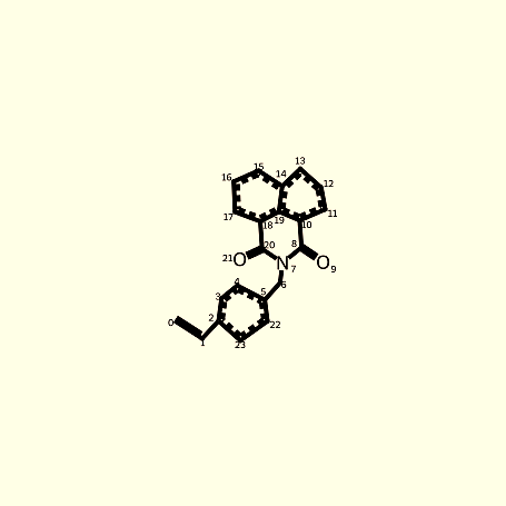 C=Cc1ccc(CN2C(=O)c3cccc4cccc(c34)C2=O)cc1